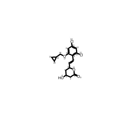 O=C1CC(O)CC(C=Cc2c(Cl)cc(Cl)cc2OCC2CC2)O1